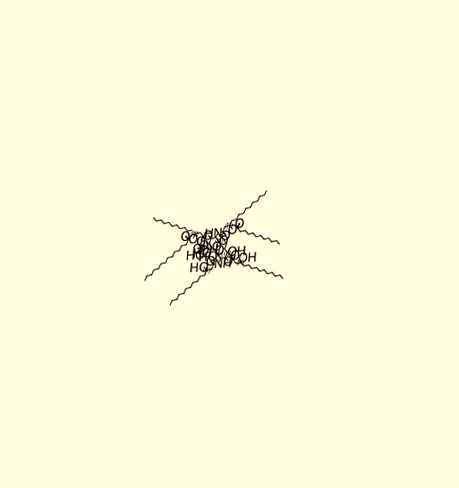 CCCCCCCCCCCCCC(=O)O[C@H](CCCCCCCCCCC)CC(=O)OC1C(NC(=O)C[C@@H](CCCCCCCCCCC)OC(=O)CCCCCCCCCCC)[C@H](OCC2O[C@@H](O)C(NC(=O)C[C@H](O)CCCCCCCCCCC)C(OC(=O)C[C@H](O)CCCCCCCCCCC)[C@@H]2O)OC(CO)[C@H]1OP(=O)(O)O